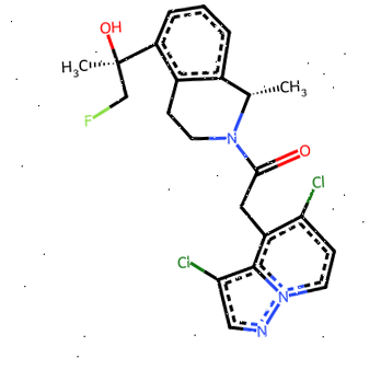 C[C@H]1c2cccc([C@](C)(O)CF)c2CCN1C(=O)Cc1c(Cl)ccn2ncc(Cl)c12